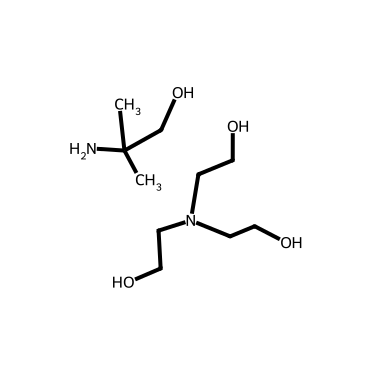 CC(C)(N)CO.OCCN(CCO)CCO